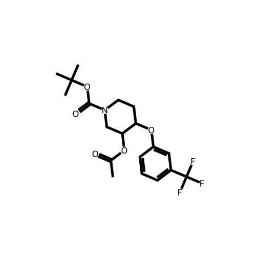 CC(=O)OC1CN(C(=O)OC(C)(C)C)CCC1Oc1cccc(C(F)(F)F)c1